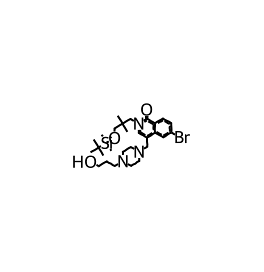 CC(C)(CO[Si](C)(C)C(C)(C)C)Cn1cc(CN2CCN(CCCO)CC2)c2cc(Br)ccc2c1=O